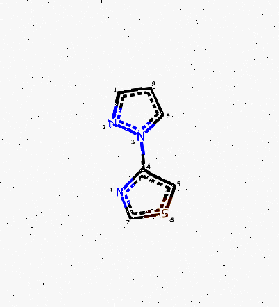 [c]1cnn(-c2cscn2)c1